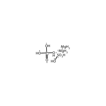 O=P(O)(O)O.O=S(=O)(O)O.[MgH2].[MgH2]